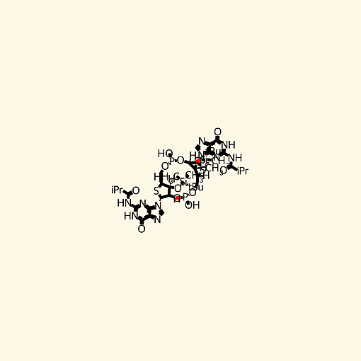 CC(C)C(=O)Nc1nc2c(ncn2[C@@H]2S[C@@H]3COP(O)O[C@@H]4[C@H](O[Si](C)(C)C(C)(C)C)[C@@H](COP(O)O[C@@H]2[C@@H]3O[Si](C)(C)C(C)(C)C)S[C@H]4n2cnc3c(=O)[nH]c(NC(=O)C(C)C)nc32)c(=O)[nH]1